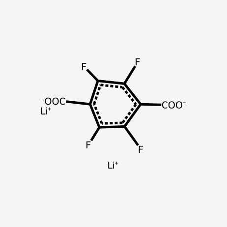 O=C([O-])c1c(F)c(F)c(C(=O)[O-])c(F)c1F.[Li+].[Li+]